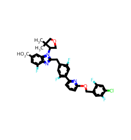 CC1(C)COCC1n1c(Cc2cc(F)c(-c3cccc(OCc4cc(F)c(Cl)cc4F)n3)cc2F)nc2c(F)cc(C(=O)O)cc21